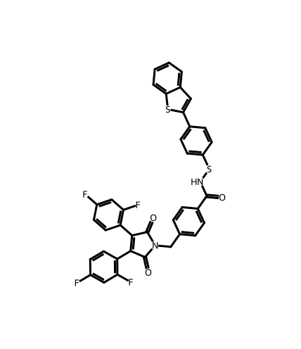 O=C(NSc1ccc(-c2cc3ccccc3s2)cc1)c1ccc(CN2C(=O)C(c3ccc(F)cc3F)=C(c3ccc(F)cc3F)C2=O)cc1